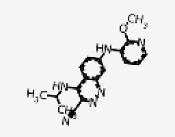 COc1ncccc1Nc1ccc2c(NC(C)C)c(C#N)nnc2c1